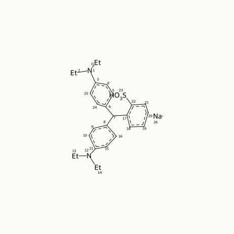 CCN(CC)c1ccc(C(c2ccc(N(CC)CC)cc2)c2ccccc2S(=O)(=O)O)cc1.[Na]